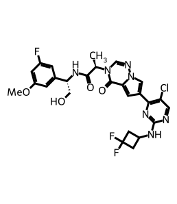 COc1cc(F)cc([C@@H](CO)NC(=O)[C@@H](C)n2cnn3cc(-c4nc(NC5CC(F)(F)C5)ncc4Cl)cc3c2=O)c1